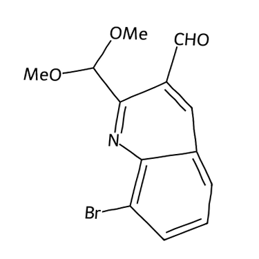 COC(OC)c1nc2c(Br)cccc2cc1C=O